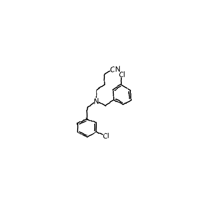 N#CCCCN(Cc1cccc(Cl)c1)Cc1cccc(Cl)c1